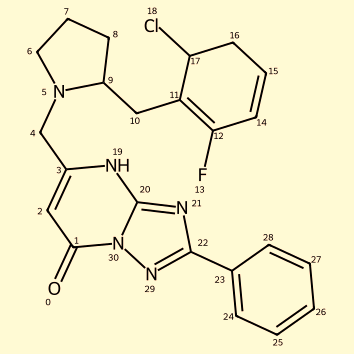 O=c1cc(CN2CCCC2CC2=C(F)C=CCC2Cl)[nH]c2nc(-c3ccccc3)nn12